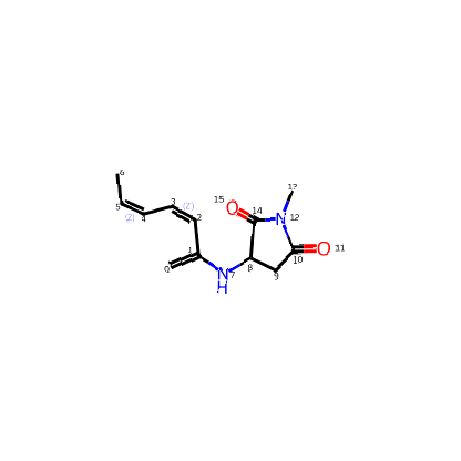 C=C(/C=C\C=C/C)NC1CC(=O)N(C)C1=O